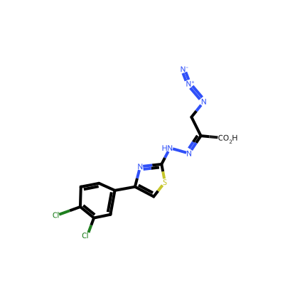 [N-]=[N+]=NCC(=NNc1nc(-c2ccc(Cl)c(Cl)c2)cs1)C(=O)O